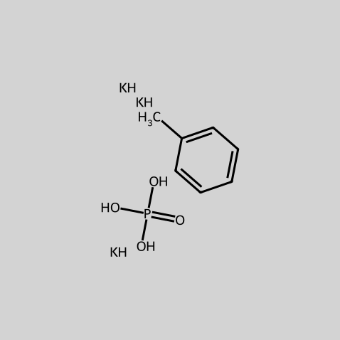 Cc1ccccc1.O=P(O)(O)O.[KH].[KH].[KH]